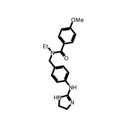 CCN(Cc1ccc(NC2=NCCN2)cc1)C(=O)c1ccc(OC)cc1